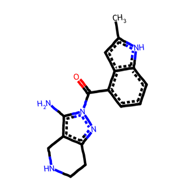 Cc1cc2c(C(=O)n3nc4c(c3N)CNCC4)cccc2[nH]1